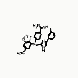 CCOc1cc(OC(C)C)c(F)c(N(Cc2nc(-c3cccc(C)c3)c[nH]2)c2ccc(C(=N)N)cc2)c1